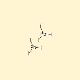 [I][Pb]([I])[I].[I][Pb]([I])[I]